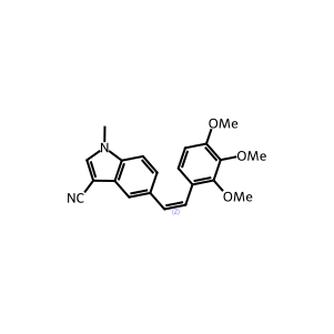 COc1ccc(/C=C\c2ccc3c(c2)c(C#N)cn3C)c(OC)c1OC